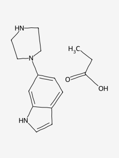 CCC(=O)O.c1cc2ccc(N3CCNCC3)cc2[nH]1